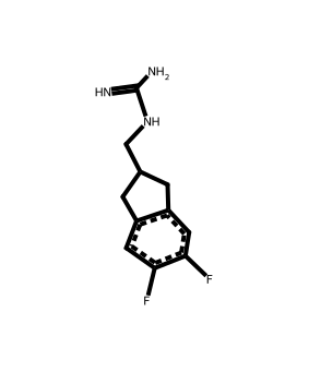 N=C(N)NCC1Cc2cc(F)c(F)cc2C1